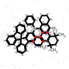 CC1(C)CCC(C)(C)c2cc(-c3cc4c(cc3N(c3ccccc3)c3c(-c5ccccc5)ccc5c3CCCC5)C3(c5ccccc5-c5ccccc53)c3ccccc3-4)ccc21